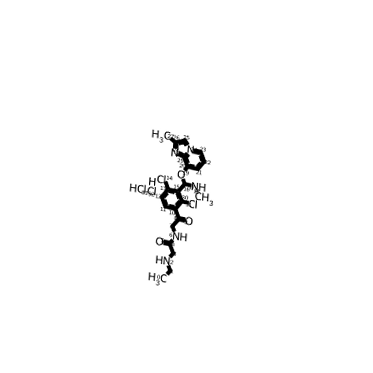 CCNCC(=O)NCC(=O)c1ccc(Cl)c(C(NC)Oc2cccn3cc(C)nc23)c1Cl.Cl.Cl